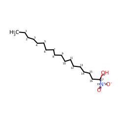 CCCCCCCCCCCCCCCCCC(O)[N+](=O)[O-]